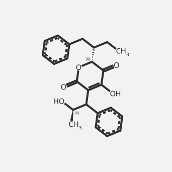 CCC(Cc1ccccc1)[C@H]1OC(=O)C(C(c2ccccc2)[C@@H](C)O)=C(O)C1=O